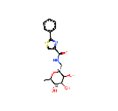 CC1O[C@H](CNC(=O)c2csc(-c3ccccc3)n2)C(O)C(O)[C@@H]1O